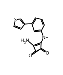 Nc1c(Nc2cccc(-c3ccsc3)c2)c(=O)c1=O